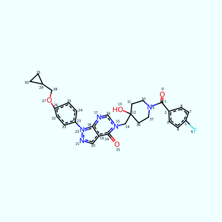 O=C(c1ccc(F)cc1)N1CCC(O)(Cn2cnc3c(cnn3-c3ccc(OCC4CC4)cc3)c2=O)CC1